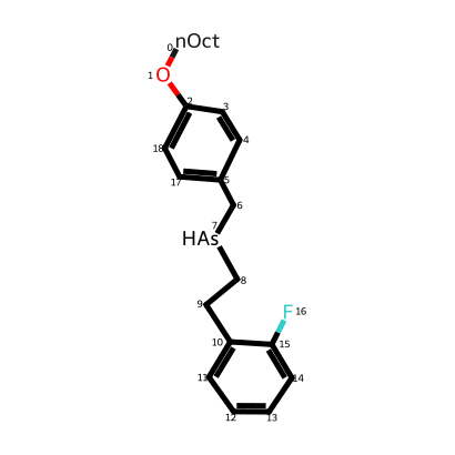 CCCCCCCCOc1ccc(C[AsH]CCc2ccccc2F)cc1